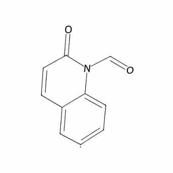 O=Cn1c(=O)ccc2c[c]ccc21